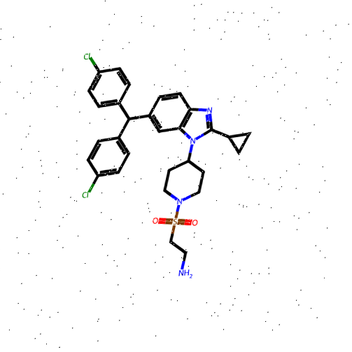 NCCS(=O)(=O)N1CCC(n2c(C3CC3)nc3ccc(C(c4ccc(Cl)cc4)c4ccc(Cl)cc4)cc32)CC1